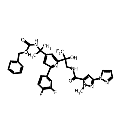 Cn1nc(-n2cccn2)cc1C(=O)NCC(O)(c1cc(C(C)(C)NC(=O)OCc2ccccc2)cc(-c2ccc(F)c(F)c2)n1)C(F)(F)F